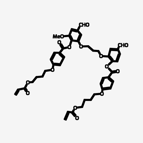 C=CC(=O)OCCCCOc1ccc(C(=O)Oc2ccc(C=O)cc2OCCCOc2cc(C=O)cc(OC)c2OC(=O)c2ccc(OCCCCOC(=O)C=C)cc2)cc1